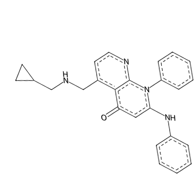 O=c1cc(Nc2ccccc2)n(-c2ccccc2)c2nccc(CNCC3CC3)c12